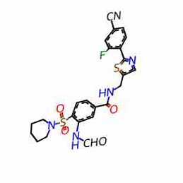 N#Cc1ccc(-c2ncc(CNC(=O)c3ccc(S(=O)(=O)N4CCCCC4)c(NC=O)c3)s2)c(F)c1